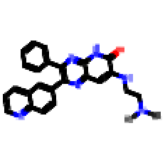 CCN(CC)CCNc1cc2nc(-c3ccc4ncccc4c3)c(-c3ccccc3)nc2[nH]c1=O